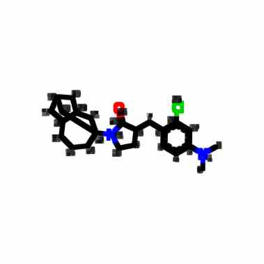 CN(C)c1ccc(CC2CCN(C34CCCC5CC(CC5C3)C4)C2=O)c(Cl)c1